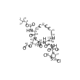 CC(C)(C)COC(=O)N[C@H]1CCCCC/C=C\[C@@H]2C[C@@]2(C(=O)NS(=O)(=O)c2cc(Cl)sc2Cl)NC(=O)[C@@H]2C[C@@H](OC=O)CN2C1=O